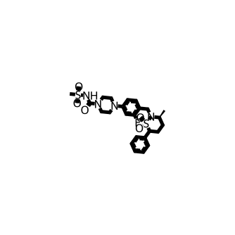 C[C@H]1CCC(c2ccccc2)S(=O)(=O)N1Cc1ccc(N2CCN(C(=O)NS(C)(=O)=O)CC2)cc1F